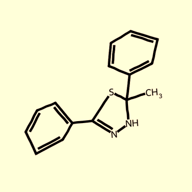 CC1(c2ccccc2)NN=C(c2ccccc2)S1